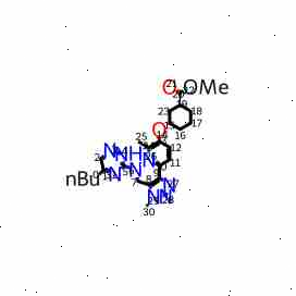 CCCCc1cnnc(NCc2c(-c3ccc(O[C@H]4CCC[C@H](C(=O)OC)C4)c(C)n3)nnn2C)n1